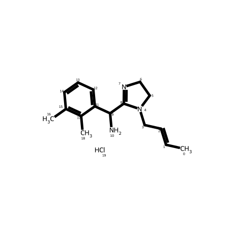 CC=CCN1CCN=C1C(N)c1cccc(C)c1C.Cl